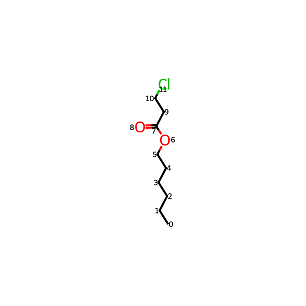 CCCCCCOC(=O)CCCl